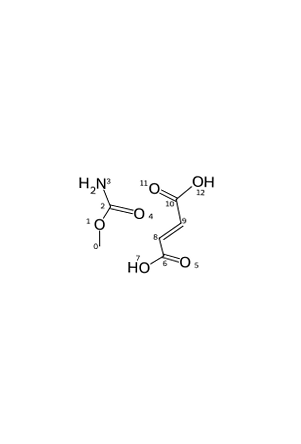 COC(N)=O.O=C(O)/C=C/C(=O)O